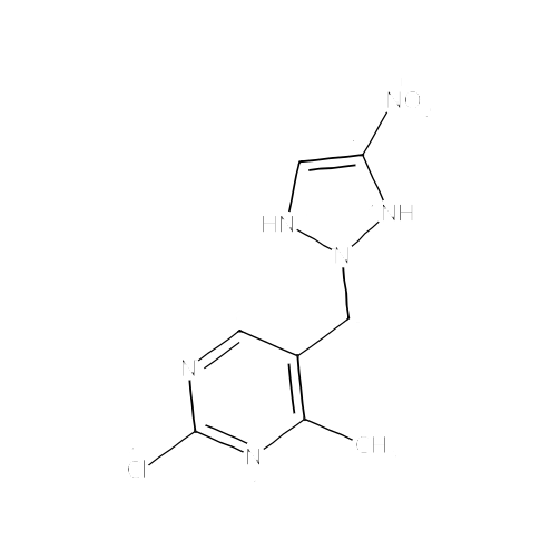 Cc1nc(Cl)ncc1CN1NC=C([N+](=O)[O-])N1